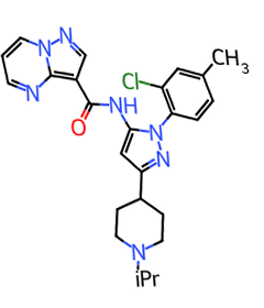 Cc1ccc(-n2nc(C3CCN(C(C)C)CC3)cc2NC(=O)c2cnn3cccnc23)c(Cl)c1